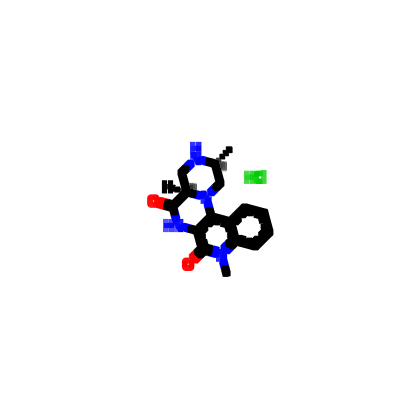 C[C@@H]1CN2c3c(c(=O)n(C)c4ccccc34)NC(=O)[C@H]2CN1.Cl